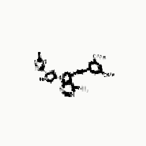 COc1cc(C#Cc2cn([C@@H]3CN[C@H](c4nnc(C)o4)C3)c3ncnc(N)c23)cc(OC)c1